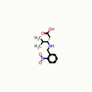 CC(C)[C@H](CC(=O)O)NCc1ccccc1[N+](=O)[O-]